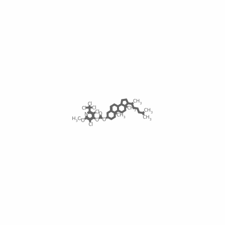 COc1nc(C(Cl)(Cl)Cl)c(Cl)c(OC(=O)OC2CCC3(C)C(=CCC4C3CCC3(C)C(C(C)CCCC(C)C)CCC43)C2)c1Cl